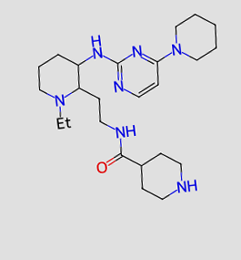 CCN1CCCC(Nc2nccc(N3CCCCC3)n2)C1CCNC(=O)C1CCNCC1